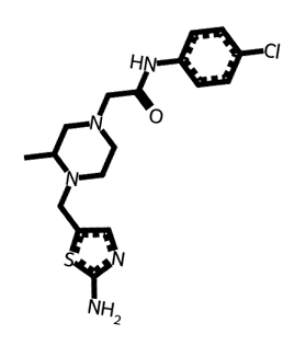 CC1CN(CC(=O)Nc2ccc(Cl)cc2)CCN1Cc1cnc(N)s1